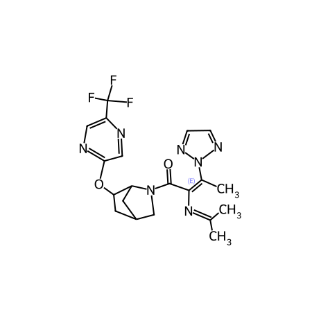 CC(C)=N/C(C(=O)N1CC2CC(Oc3cnc(C(F)(F)F)cn3)C1C2)=C(\C)n1nccn1